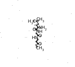 CSC(=O)CCNC(=O)CNC(=O)[C@@H](N)CSC(C)C